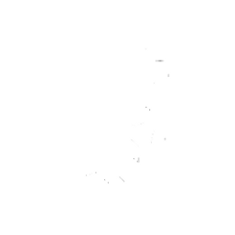 Cl.O=C(O)CC1(O)CCN(c2c(F)cc(N[C@H]3CCC(=O)NC3=O)cc2Cl)CC1